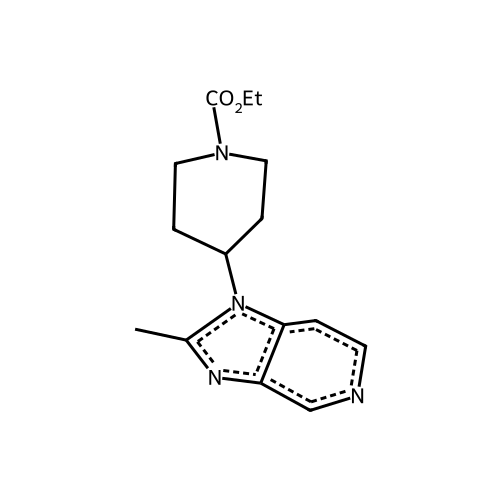 CCOC(=O)N1CCC(n2c(C)nc3cnccc32)CC1